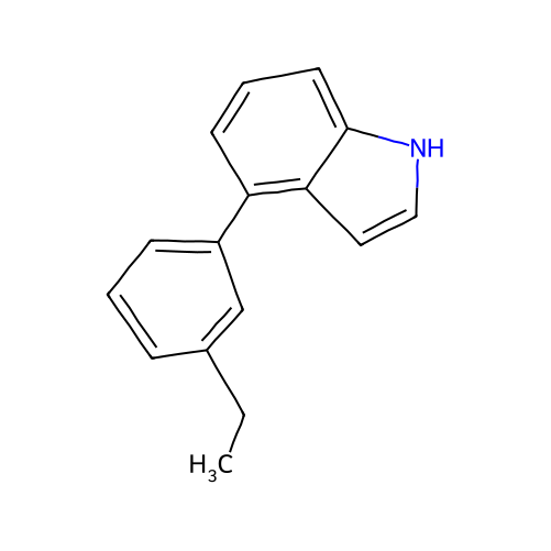 CCc1cccc(-c2cccc3[nH]ccc23)c1